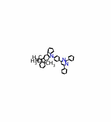 CC1(C)C2=Cc3c(n(-c4ccc(-c5cc(-c6ccccc6)nc(-c6ccccc6)n5)cc4)c4ccccc34)CC2(C)C2(C)C=CC=CC12